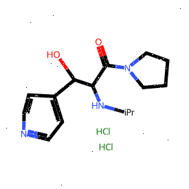 CC(C)NC(C(=O)N1CCCC1)C(O)c1ccncc1.Cl.Cl